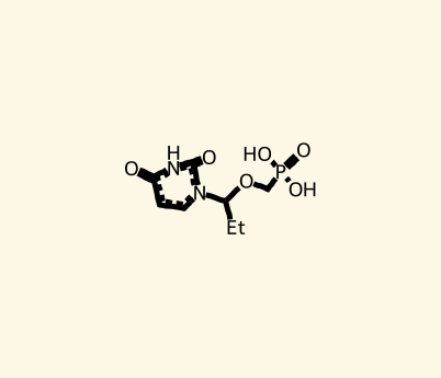 CCC(OCP(=O)(O)O)n1ccc(=O)[nH]c1=O